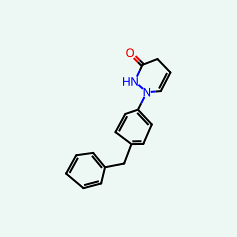 O=C1CC=CN(c2ccc(Cc3ccccc3)cc2)N1